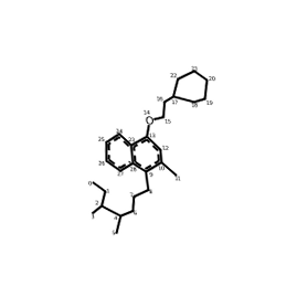 CCC(C)C(C)CCCc1c(C)cc(OCCC2CCCCC2)c2ccccc12